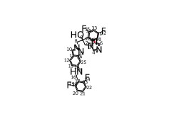 OC(Cn1cncn1)(Cn1cc2ccc(NCc3c(F)cccc3F)cc2n1)c1ccc(F)cc1F